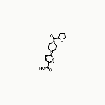 O=C(O)c1ccc(N2CCN(C(=O)C3CCCO3)CC2)nn1